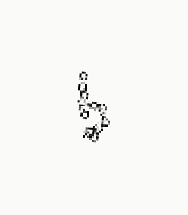 CC(C)(C)OC(=O)N1CCC(O[C@H]2C[C@H](Oc3ccc([C@@H]4c5ccc(OCc6ccccc6)cc5CC[C@@H]4c4ccccc4)cc3)C2)CC1